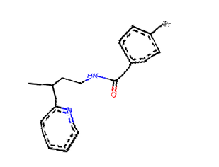 CC(C)c1ccc(C(=O)NCCC(C)c2ccccn2)cc1